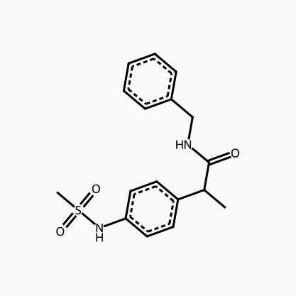 CC(C(=O)NCc1ccccc1)c1ccc(NS(C)(=O)=O)cc1